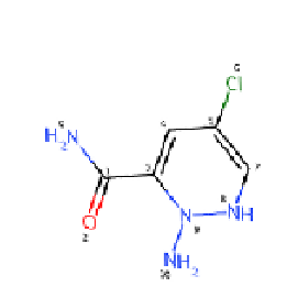 NC(=O)C1=CC(Cl)=CNN1N